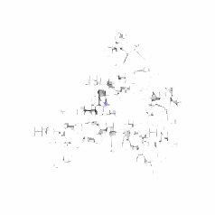 C=C1CC[C@@H]2[C@@H](C)/C(=N/O)[C@H](C)C[C@@](C)(CC1)[C@H](O[C@@H]1O[C@H](C)C[C@H](N(C)CCc3cn(CCc4ccc([N+](=O)[O-])cc4)nn3)[C@H]1O)[C@@H](C)[C@H](O[C@H]1C[C@@](C)(OC)[C@@H](O)[C@H](C)O1)[C@@H](C)C(=O)O[C@H](CC)[C@@]2(C)O